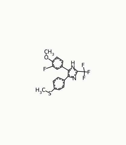 COc1ccc(-c2[nH]c(C(F)(F)F)nc2-c2ccc(SC)cc2)cc1F